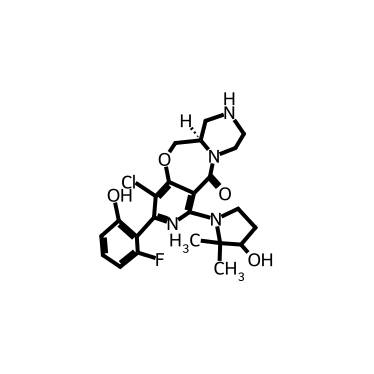 CC1(C)C(O)CCN1c1nc(-c2c(O)cccc2F)c(Cl)c2c1C(=O)N1CCNC[C@@H]1CO2